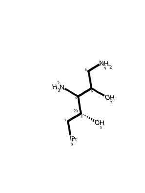 CC(C)C[C@@H](O)C(N)C(O)CN